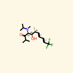 CC(C)C(=O)[C@H]([C@H](O)[C@H](C)/C=C/C=C/C(F)(F)F)N(C)C(C)C